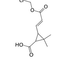 CC1(C)C(C=CC(=O)OCCl)C1C(=O)O